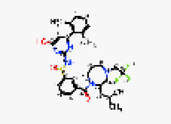 Cc1cccc(C)c1-c1cc(O)nc(N[S+]([O-])c2cccc(C(=O)N3CCCN(CC(F)(F)F)CC3CC(C)C)c2)n1